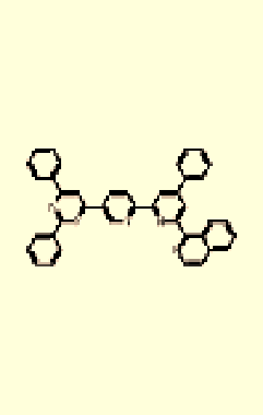 c1ccc(-c2cc(-c3ccc(-c4cc(-c5ccccc5)nc(-c5ccccc5)n4)cn3)nc(-c3nccc4ccccc34)c2)cc1